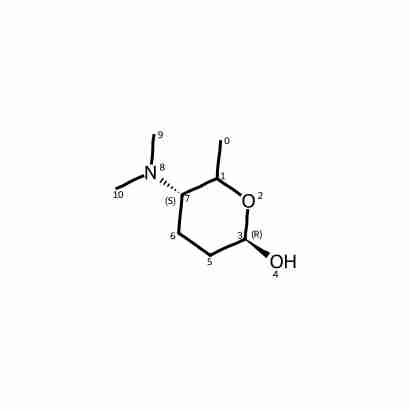 CC1O[C@@H](O)CC[C@@H]1N(C)C